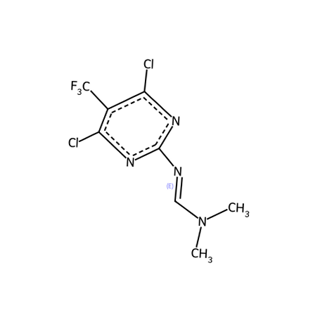 CN(C)/C=N/c1nc(Cl)c(C(F)(F)F)c(Cl)n1